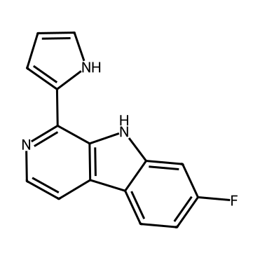 Fc1ccc2c(c1)[nH]c1c(-c3ccc[nH]3)nccc12